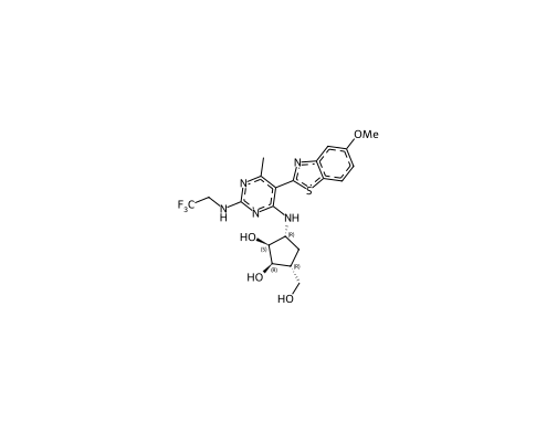 COc1ccc2sc(-c3c(C)nc(NCC(F)(F)F)nc3N[C@@H]3C[C@H](CO)[C@@H](O)[C@H]3O)nc2c1